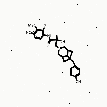 COc1c(C#N)ccc(NC(=O)C(C)(O)CN2CC3CC4(Cc5ccc(C#N)cc5)CC(C2)C34)c1F